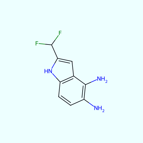 Nc1ccc2[nH]c(C(F)F)cc2c1N